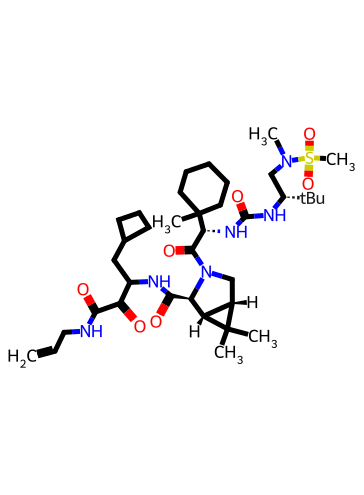 C=CCNC(=O)C(=O)C(CC1CCC1)NC(=O)[C@@H]1[C@@H]2[C@H](CN1C(=O)[C@@H](NC(=O)N[C@H](CN(C)S(C)(=O)=O)C(C)(C)C)C1(C)CCCCC1)C2(C)C